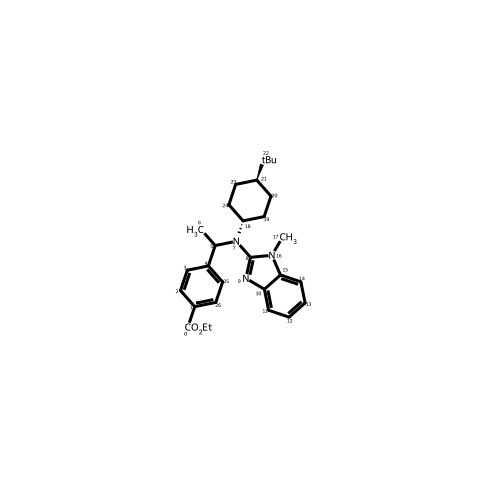 CCOC(=O)c1ccc(C(C)N(c2nc3ccccc3n2C)[C@H]2CC[C@H](C(C)(C)C)CC2)cc1